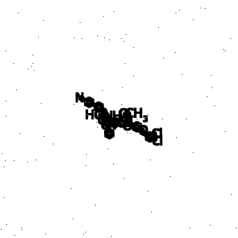 CC(=O)N1CC(c2ccc(OCc3ccc(Cl)c(Cl)c3)cc2)Oc2cc3c(cc21)CC(C(=O)NC(Cc1ccc(-c2ccc(C#N)cc2)cc1)C(=O)O)N(C(=O)c1ccccc1)C3